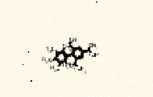 CCc1cc(C(C)C)cc(C(C)C)c1-c1c(C)c(C)c(C)c(C)c1P